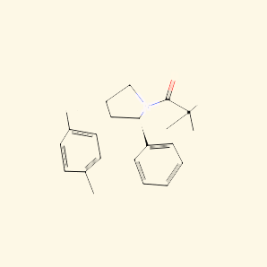 CCC(C)(C)C(=O)N1CC[C@@H](c2cc(C)ccc2S(=O)(=O)O)[C@@H]1c1ccccc1